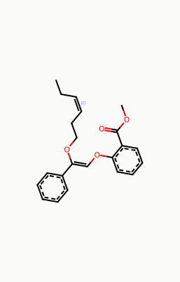 CC/C=C\CCOC(=COc1ccccc1C(=O)OC)c1ccccc1